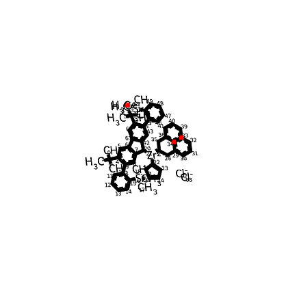 CC(C)(C)c1cc2c(cc1-c1ccccc1[Si](C)(C)C)[CH]([Zr+2]([C]1=CC=CC1)=[C](Cc1ccccc1)Cc1ccccc1)c1cc(-c3ccccc3[Si](C)(C)C)c(C(C)(C)C)cc1-2.[Cl-].[Cl-]